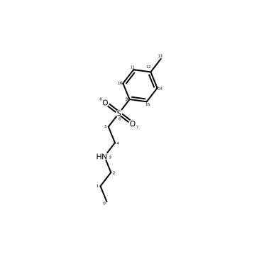 CCCNCCS(=O)(=O)c1ccc(C)cc1